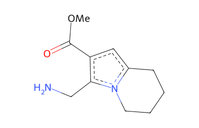 COC(=O)c1cc2n(c1CN)CCCC2